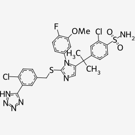 COc1cc(-n2c(C(C)(C)c3ccc(S(N)(=O)=O)c(Cl)c3)cnc2SCc2ccc(Cl)c(-c3nnn[nH]3)c2)ccc1F